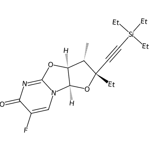 CC[C@@]1(C#C[Si](CC)(CC)CC)O[C@@H]2[C@@H](Oc3nc(=O)c(F)cn32)[C@@H]1C